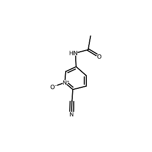 CC(=O)Nc1ccc(C#N)[n+]([O-])c1